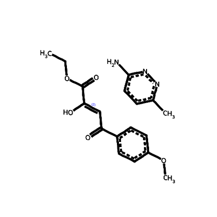 CCOC(=O)/C(O)=C/C(=O)c1ccc(OC)cc1.Cc1ccc(N)nn1